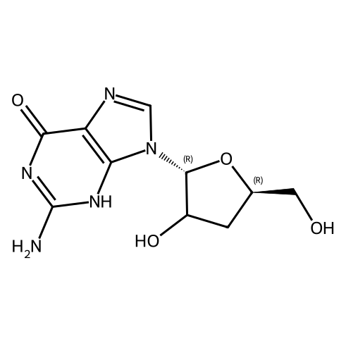 Nc1nc(=O)c2ncn([C@@H]3O[C@@H](CO)CC3O)c2[nH]1